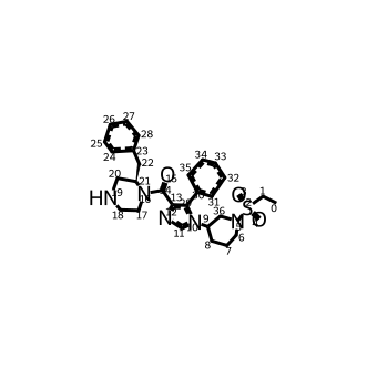 CCS(=O)(=O)N1CCCC(n2cnc(C(=O)N3CCNC[C@H]3Cc3ccccc3)c2-c2ccccc2)C1